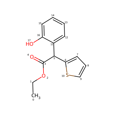 CCOC(=O)C(c1cccs1)c1ccccc1O